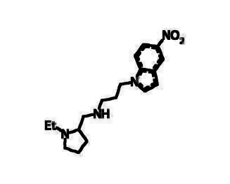 CCN1CCCC1CNCCCn1ccc2cc([N+](=O)[O-])ccc21